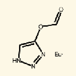 O=COc1c[nH]nn1.[Eu]